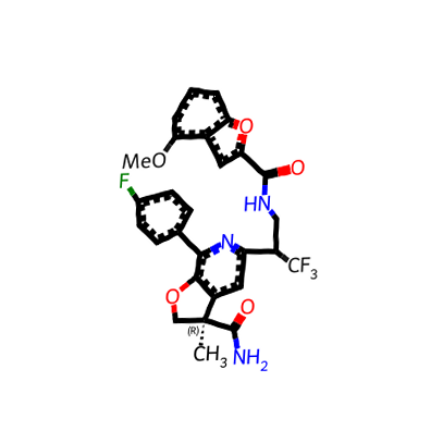 COc1cccc2oc(C(=O)NCC(c3cc4c(c(-c5ccc(F)cc5)n3)OC[C@]4(C)C(N)=O)C(F)(F)F)cc12